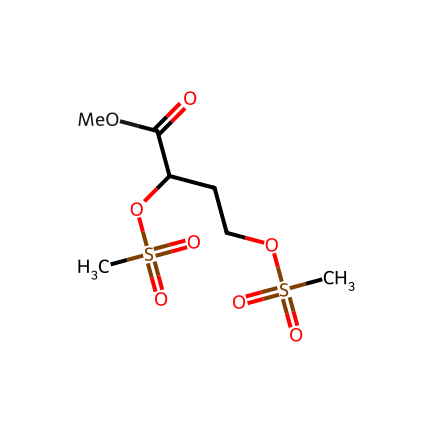 COC(=O)C(CCOS(C)(=O)=O)OS(C)(=O)=O